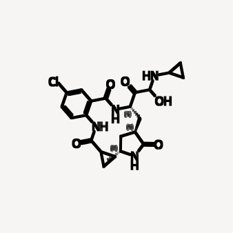 C[C@@H]1C[C@@H](C[C@H](NC(=O)c2cc(Cl)ccc2NC(=O)C2CC2)C(=O)C(O)NC2CC2)C(=O)N1